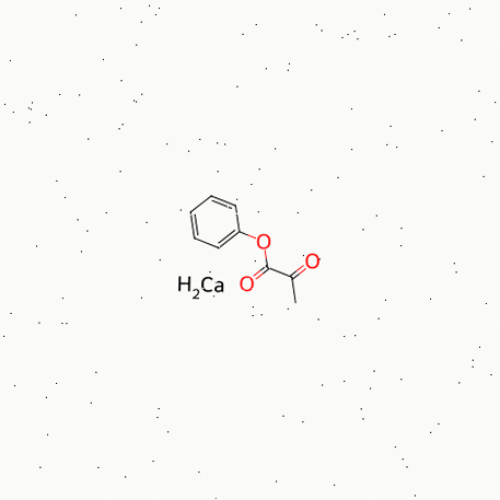 CC(=O)C(=O)Oc1ccccc1.[CaH2]